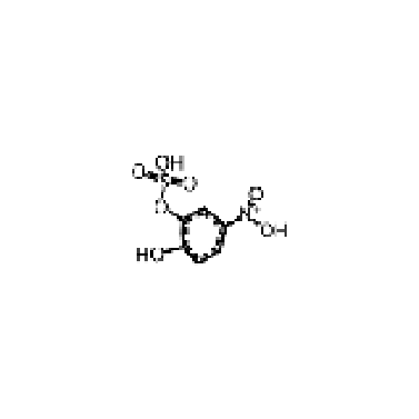 O=[N+](O)c1ccc(O)c(OS(=O)(=O)O)c1